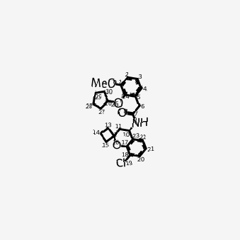 COc1cccc(CC(=O)N[C@@H]2CC3(CCC3)Oc3c(Cl)cccc32)c1OC1CCCC1